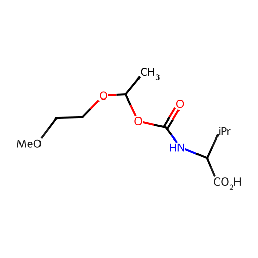 COCCOC(C)OC(=O)NC(C(=O)O)C(C)C